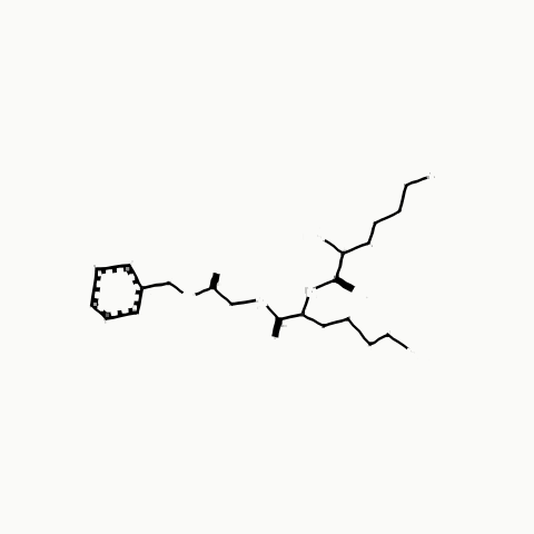 NCCCCC(N)C(=O)NC(CCCCN)C(=O)NCC(=O)OCc1ccccc1